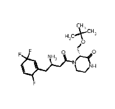 CC(C)(C)OC[C@@H]1C(=O)NCCN1C(=O)C[C@H](N)CC1=CC(F)(F)C=CC1F